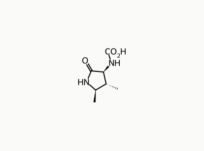 C[C@H]1[C@H](NC(=O)O)C(=O)N[C@@H]1C